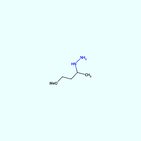 COCCC(C)NN